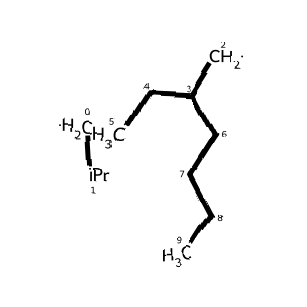 [CH2]C(C)C.[CH2]C(CC)CCCC